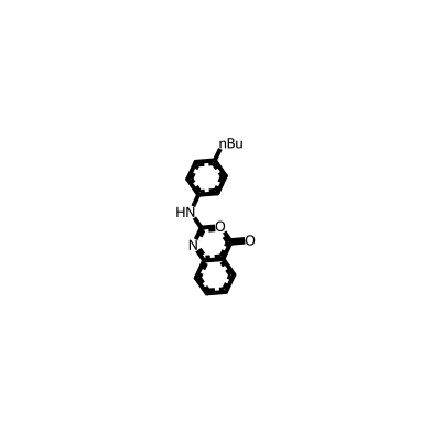 CCCCc1ccc(Nc2nc3ccccc3c(=O)o2)cc1